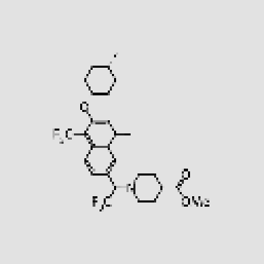 COC(=O)C1CCN(C(C2=CC3C(=C(C(F)(F)F)C(O[C@H]4CC[C@@H](C)CC4)=CC3C)C=C2)C(F)(F)F)CC1